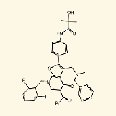 CC(C)C(=O)c1cn(Cc2c(F)cccc2F)c2sc(-c3ccc(NC(=O)C(C)(C)O)cc3)c(CN(C)Cc3ccccc3)c2c1=O